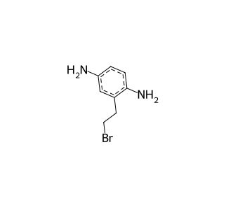 Nc1ccc(N)c(CCBr)c1